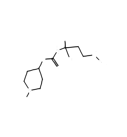 CN1CCC(OC(=O)NC(C)(C)CCO[N+](=O)[O-])CC1